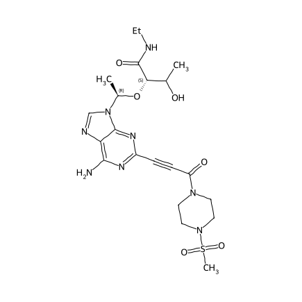 CCNC(=O)[C@@H](O[C@H](C)n1cnc2c(N)nc(C#CC(=O)N3CCN(S(C)(=O)=O)CC3)nc21)C(C)O